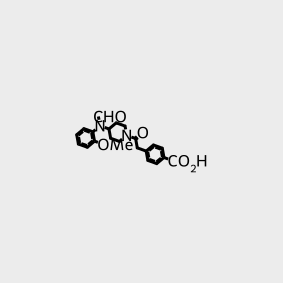 COc1ccccc1N(C=O)C1CCN(C(=O)Cc2ccc(C(=O)O)cc2)CC1